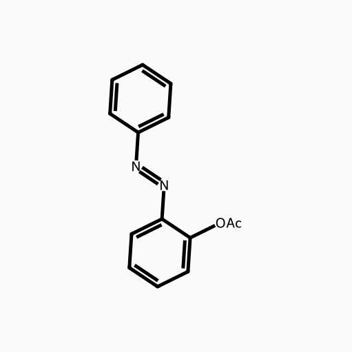 CC(=O)Oc1ccccc1/N=N/c1ccccc1